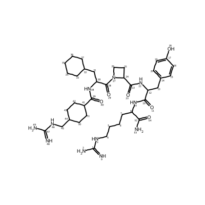 N=C(N)NCCCCC(NC(=O)C(Cc1ccc(O)cc1)NC(=O)C1CCN1C(=O)C(CC1CCCCC1)NC(=O)C1CCC(CNC(=N)N)CC1)C(N)=O